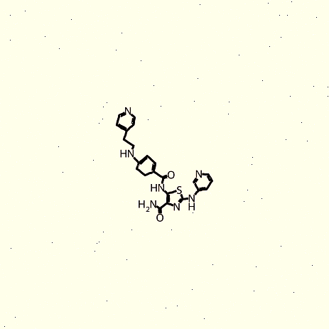 NC(=O)c1nc(Nc2cccnc2)sc1NC(=O)C1=CC=C(NCCc2ccncc2)CC1